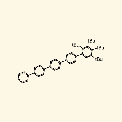 CC(C)(C)c1cc(-c2ccc(-c3ccc(-c4ccc(-c5ccccc5)cc4)cc3)cc2)c(C(C)(C)C)c(C(C)(C)C)c1C(C)(C)C